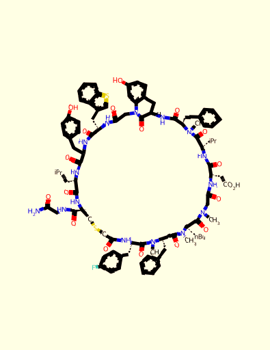 CCCC[C@H]1C(=O)N(C)CC(=O)N[C@@H](CC(=O)O)C(=O)N[C@@H](C(C)C)C(=O)N(C)[C@@H](Cc2ccccc2)C(=O)N[C@H]2Cc3ccc(O)cc3N(CC(=O)N[C@@H](Cc3csc4ccccc34)C(=O)NC(Cc3ccc(O)cc3)C(=O)N[C@@H](CC(C)C)C(=O)N[C@H](C(=O)NCC(N)=O)CSCC(=O)N[C@@H](Cc3ccc(F)cc3)C(=O)N(C)[C@@H](Cc3ccccc3)C(=O)N1C)C2=O